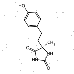 C[C@]1(CCc2ccc(O)cc2)NC(=O)NC1=O